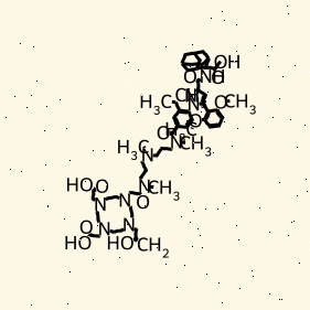 C=C(O)CN1CCN(CC(=O)O)CCN(CC(=O)O)CCN(CC(=O)N(C)CCCN(C)CCCN(C)C(=O)c2ccc(-n3nc(C(=O)NC4(C(=O)O)C5CC6CC(C5)CC4C6)cc3-c3c(OC)cccc3OC)c(C(C)C)c2)CC1